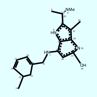 CN[C@@H](C)c1[nH]c2c(NCC3=CC=CC(C)C3)cc(O)nc2c1C